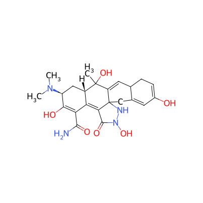 CN(C)[C@H]1C[C@H]2C(=C3C(=O)N(O)NC34CC3=CC(O)=CCC3C=C4C2(C)O)C(C(N)=O)=C1O